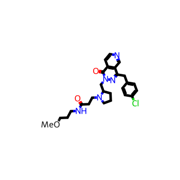 COCCCNC(=O)CCN1CCCC1Cn1nc(Cc2ccc(Cl)cc2)c2cnccc2c1=O